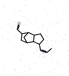 C/C=C\C1CCC2C3CC(CC3C=O)C12